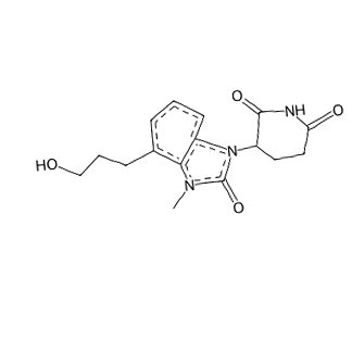 Cn1c(=O)n(C2CCC(=O)NC2=O)c2cccc(CCCO)c21